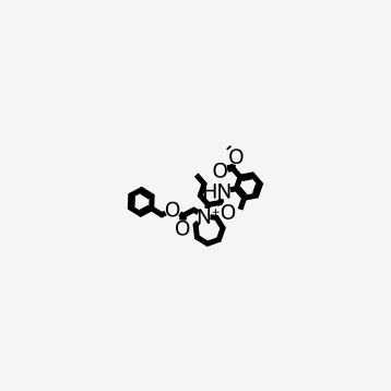 CCCC(C(=O)Nc1c(C)cccc1C(=O)OC)[N+]1(CC(=O)OCc2ccccc2)CCCCCC1